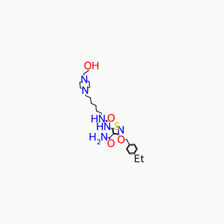 CCc1ccc(COc2nsc(NC(=O)NCCCCCCN3CCN(CCO)CC3)c2C(N)=O)cc1